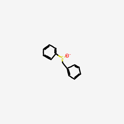 [O-][S@@+](Cc1ccccc1)c1ccccc1